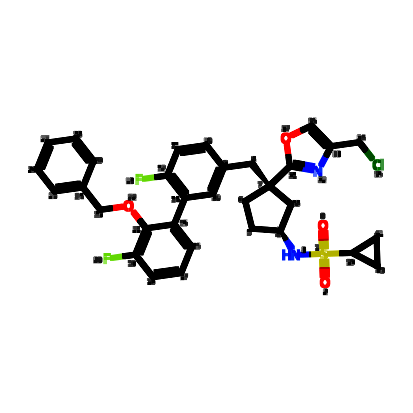 O=S(=O)(N[C@H]1CC[C@](Cc2ccc(F)c(-c3cccc(F)c3OCc3ccccc3)c2)(c2nc(CCl)co2)C1)C1CC1